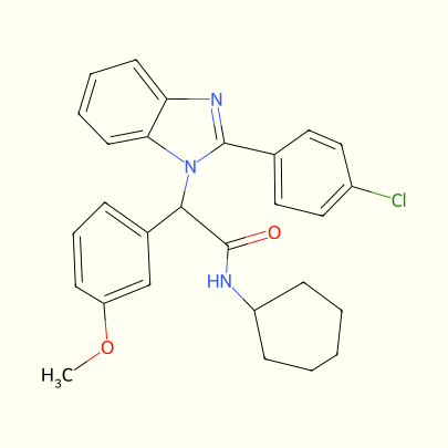 COc1cccc(C(C(=O)NC2CCCCC2)n2c(-c3ccc(Cl)cc3)nc3ccccc32)c1